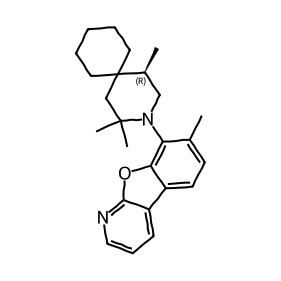 Cc1ccc2c(oc3ncccc32)c1N1C[C@H](C)C2(CCCCC2)CC1(C)C